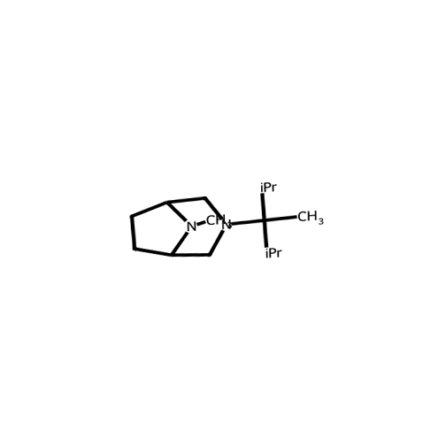 CC(C)C(C)(C(C)C)N1CC2CCC(C1)N2C